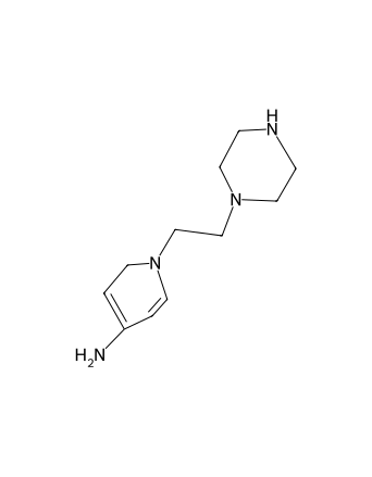 NC1=CCN(CCN2CCNCC2)C=C1